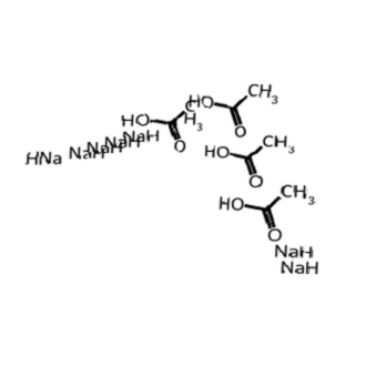 CC(=O)O.CC(=O)O.CC(=O)O.CC(=O)O.[NaH].[NaH].[NaH].[NaH].[NaH].[NaH].[NaH]